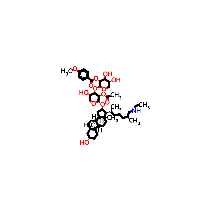 CCNC[C@H](C)CCC[C@@H](C)[C@H]1[C@@H](O[C@@H]2OC[C@H](O)[C@H](O[C@@H]3OC[C@@H](O)[C@H](O)[C@H]3OC(=O)c3ccc(OC)cc3)[C@H]2OC(C)=O)C[C@H]2[C@@H]3CC=C4C[C@@H](O)CC[C@]4(C)[C@H]3CC[C@]12C